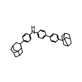 c1cc(-c2ccc(C34CC5CC(CC(C5)C3)C4)cc2)ccc1Nc1ccc(C23CC4CC5CC(C2)C5(C4)C3)cc1